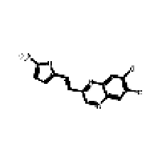 O=[N+]([O-])c1ccc(C=Cc2cnc3cc(Cl)c(Cl)cc3n2)o1